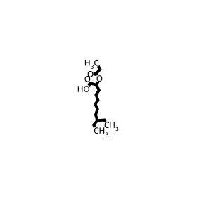 CCC(=O)OC(CCCCCCC(CC)CC)C(=O)O